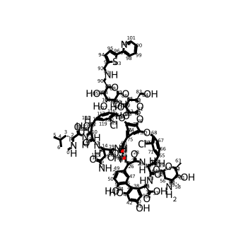 CN[C@H](CC(C)C)C(=O)N[C@H]1C(=O)N[C@@H](CC(N)=O)C(=O)N[C@H]2C(=O)N[C@H]3C(=O)N[C@H](C(=O)N[C@@H](C(=O)O)c4cc(O)cc(O)c4-c4cc3ccc4O)[C@H](OC3C[C@](C)(N)[C@@H](O)[C@H](C)O3)c3ccc(c(Cl)c3)Oc3cc2cc(c3O[C@@H]2O[C@H](CO)[C@@H](O[C@@H]3O[C@H](CNCc4ccc(-c5ccccn5)s4)[C@H](O)[C@H](O)[C@H]3O)[C@H](O)[C@H]2O)Oc2ccc(cc2Cl)[C@H]1O